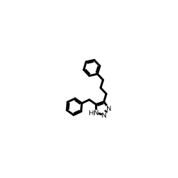 c1ccc(CCCc2nn[nH]c2Cc2ccccc2)cc1